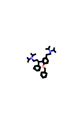 CC(C)N(CCc1ccc(OCc2ccccc2)c(C(CCN(C(C)C)C(C)C)c2ccccc2)c1)C(C)C